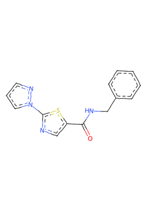 O=C(NCc1ccccc1)c1cnc(-n2cccn2)s1